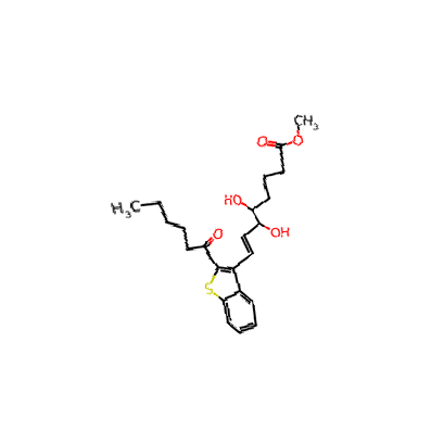 CCCCCC(=O)c1sc2ccccc2c1/C=C/C(O)C(O)CCCC(=O)OC